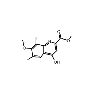 COC(=O)c1cc(O)c2cc(C)c(OC)c(C)c2n1